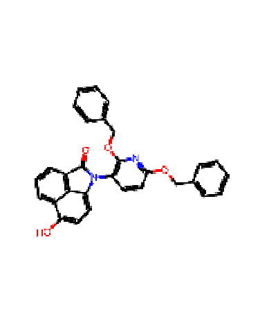 O=C1c2cccc3c(O)ccc(c23)N1c1ccc(OCc2ccccc2)nc1OCc1ccccc1